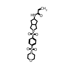 C=CC(=O)NC1CC2CN(S(=O)(=O)c3ccc(S(=O)(=O)N4CCOCC4)cc3)CC2C1